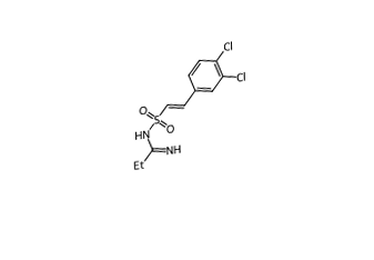 CCC(=N)NS(=O)(=O)C=Cc1ccc(Cl)c(Cl)c1